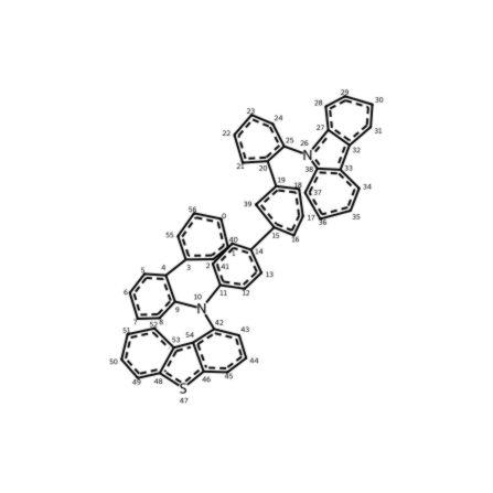 c1ccc(-c2ccccc2N(c2ccc(-c3cccc(-c4ccccc4-n4c5ccccc5c5ccccc54)c3)cc2)c2cccc3sc4ccccc4c23)cc1